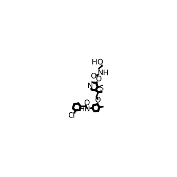 Cc1ccc(NC(=O)c2cccc(Cl)c2)cc1OCc1csc2c(OC(=O)NCCO)cncc12